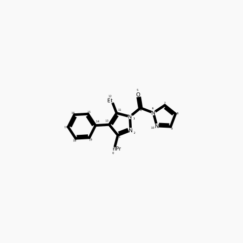 CCCc1nn(C(=O)n2cccn2)c(CC)c1-c1ccccc1